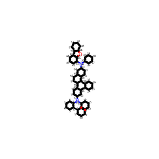 c1ccc(-c2ccccc2N(c2ccccc2)c2ccc3c(c2)c2ccccc2c2c4ccc(N(c5ccccc5)c5cccc6c5oc5ccccc56)cc4ccc32)cc1